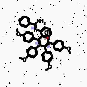 COc1ccc(/[C]([Pd][Cl])=C(/C(=C(/c2ccc(OC)cc2)c2ccccc2/N=C(\N)c2ccccc2)c2ccc(OC)cc2)c2ccc(OC)cc2)cc1